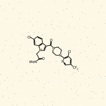 CNC(=O)Cn1cc(C(=O)N2CCN(c3ncc(C(F)(F)F)cc3Cl)CC2)c2ccc(Cl)cc21